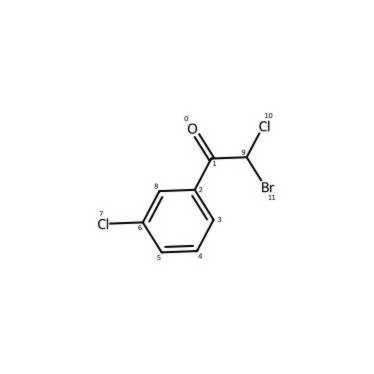 O=C(c1cccc(Cl)c1)C(Cl)Br